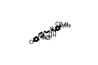 COc1ccc(NC(=O)NCCCN2CCN(c3ccc(Cl)cc3)CC2)cc1C(=O)O.Cl.Cl